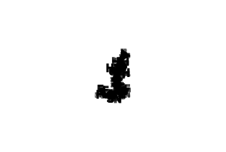 O=C([C@H]1N[C@H]2CC[C@@H]1C[C@H]2CC1CC1)N1CC2(C1)CN(c1c(C(F)(F)F)cnc3sc(CC(F)(F)F)cc13)C2